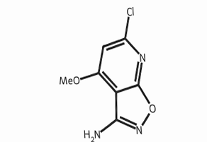 COc1cc(Cl)nc2onc(N)c12